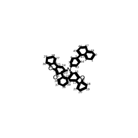 c1ccc2c(-c3ccc(N(c4ccc5c(c4)oc4ccccc45)c4cc5c6ccccc6oc5c5oc6ccccc6c45)cc3)cccc2c1